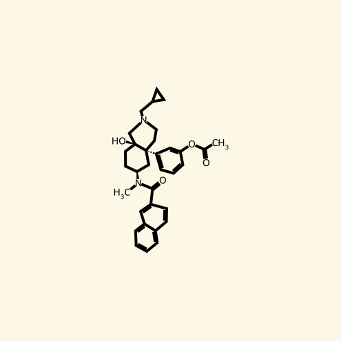 CC(=O)Oc1cccc([C@@]23CCN(CC4CC4)C[C@@]2(O)CC[C@H](N(C)C(=O)c2ccc4ccccc4c2)C3)c1